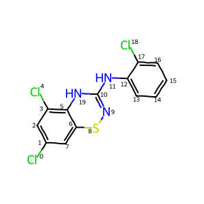 Clc1cc(Cl)c2c(c1)SN=C(Nc1ccccc1Cl)N2